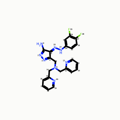 NC1=NN=C(CN(Cc2ccccn2)Cc2ccccn2)C1=NNc1ccc(F)c(F)c1